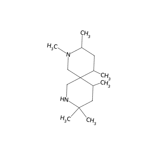 CC1CC(C)C2(CNC(C)(C)CC2C)CN1C